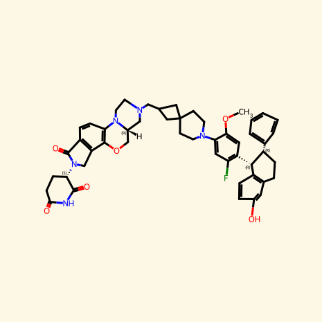 COc1cc([C@H]2c3ccc(O)cc3CC[C@H]2c2ccccc2)c(F)cc1N1CCC2(CC1)CC(CN1CCN3c4ccc5c(c4OC[C@H]3C1)CN([C@H]1CCC(=O)NC1=O)C5=O)C2